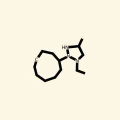 CCN1CC(C)NN1C1CCCCCCCC1